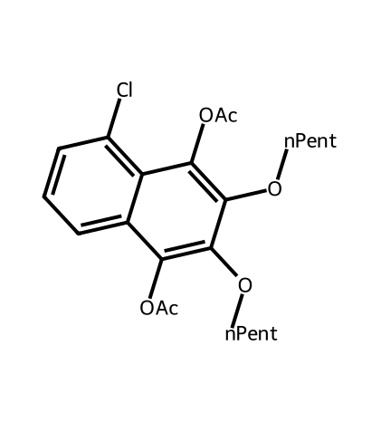 CCCCCOc1c(OCCCCC)c(OC(C)=O)c2c(Cl)cccc2c1OC(C)=O